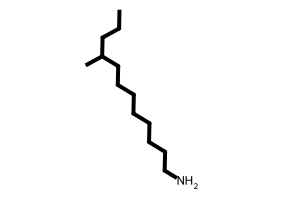 CCCC(C)CCCCCCCCN